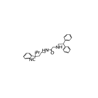 CC(C)C(C#N)(CCCNC(=O)CNCC(c1ccccc1)c1ccccc1)c1ccccc1